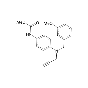 C#CCN(Cc1cccc(OC)c1)c1ccc(NC(=O)OC)cc1